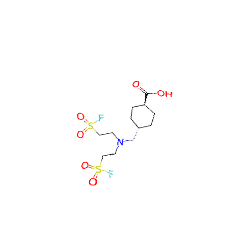 O=C(O)[C@H]1CC[C@H](CN(CCS(=O)(=O)F)CCS(=O)(=O)F)CC1